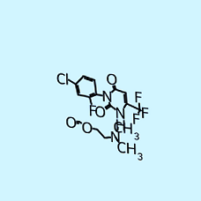 CN(C)CCOC=O.O=c1cc(C(F)(F)F)[nH]c(=O)n1-c1ccc(Cl)cc1F